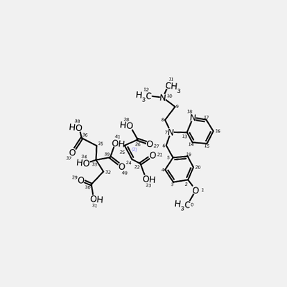 COc1ccc(CN(CCN(C)C)c2ccccn2)cc1.O=C(O)/C=C\C(=O)O.O=C(O)CC(O)(CC(=O)O)C(=O)O